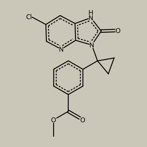 COC(=O)c1cccc(C2(n3c(=O)[nH]c4cc(Cl)cnc43)CC2)c1